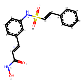 O=C(/C=C/c1cccc(NS(=O)(=O)/C=C/c2ccccc2)c1)NO